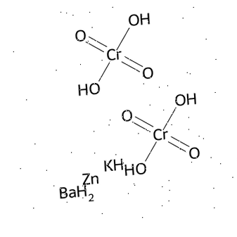 [BaH2].[KH].[O]=[Cr](=[O])([OH])[OH].[O]=[Cr](=[O])([OH])[OH].[Zn]